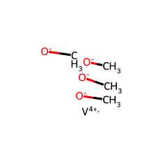 C[O-].C[O-].C[O-].C[O-].[V+4]